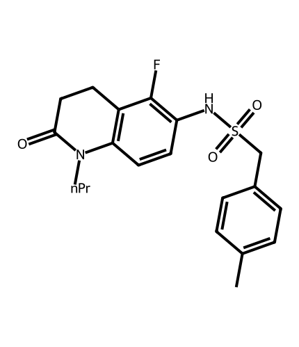 CCCN1C(=O)CCc2c1ccc(NS(=O)(=O)Cc1ccc(C)cc1)c2F